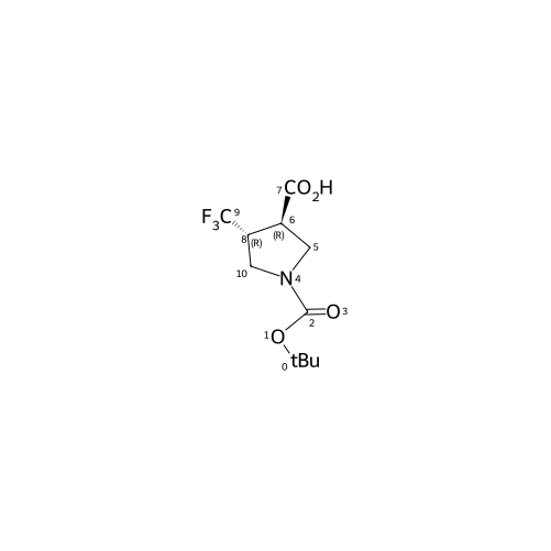 CC(C)(C)OC(=O)N1C[C@H](C(=O)O)[C@@H](C(F)(F)F)C1